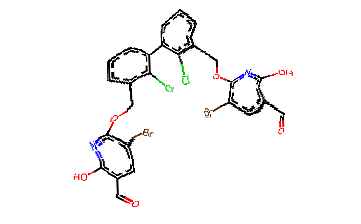 O=Cc1cc(Br)c(OCc2cccc(-c3cccc(COc4nc(O)c(C=O)cc4Br)c3Cl)c2Cl)nc1O